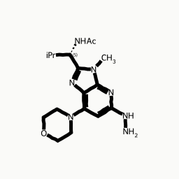 CC(=O)N[C@H](c1nc2c(N3CCOCC3)cc(NN)nc2n1C)C(C)C